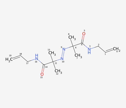 C=CCNC(=O)C(C)(C)N=NC(C)(C)C(=O)NCC=C